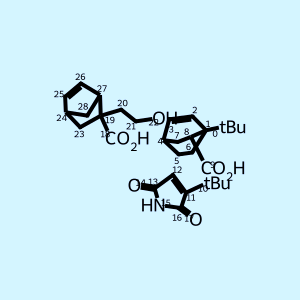 CC(C)(C)C12C=CC(CC1)CC2C(=O)O.CC(C)(C)C1=CC(=O)NC1=O.O=C(O)C1(CCO)CC2C=CC1C2